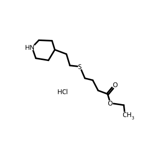 CCOC(=O)CCCSCCC1CCNCC1.Cl